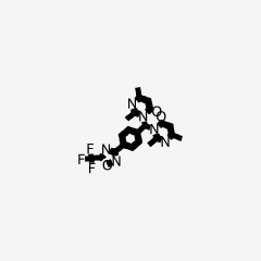 Cc1cc(=O)n(C(c2ccc(-c3noc(C(F)(F)F)n3)cc2)n2c(C)nc(C)cc2=O)c(C)n1